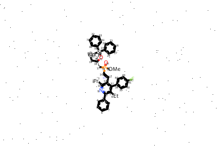 CCc1c(-c2ccccc2)nc(C(C)C)c(/C=C/P(=O)(C[C@H](CC(=O)O)O[Si](c2ccccc2)(c2ccccc2)C(C)(C)C)OC)c1-c1ccc(F)cc1